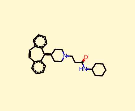 O=C(CCN1CCC(=C2c3ccccc3C=Cc3ccccc32)CC1)NC1CCCCC1